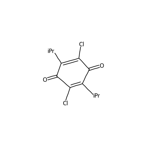 CC(C)C1=C(Cl)C(=O)C(C(C)C)=C(Cl)C1=O